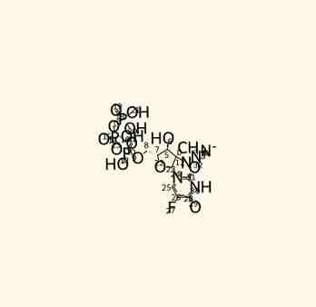 C[C@@]1(N=[N+]=[N-])[C@H](O)[C@@H](COP(=O)(O)OP(=O)(O)OP(=O)(O)O)O[C@H]1n1cc(F)c(=O)[nH]c1=O